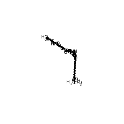 CC(C)(C)OC(=O)CCCCCCCCCCCCCCCOc1ccc(S(=O)(=O)Nc2ccc(C(=O)NCCOCCOCC(=O)NCCOCCOCC(=O)O)cn2)cc1